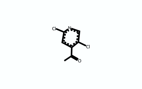 CC(=O)c1cc(Cl)ncc1Cl